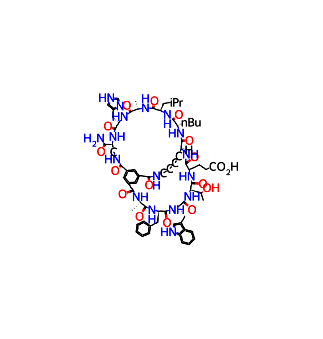 CCCC[C@@H]1NC(=O)[C@@H]2CCCCNC(=O)c3cc(cc(c3)C(=O)N[C@@H](C)C(=O)N[C@H](Cc3ccccc3)C(=O)N[C@@H](Cc3c[nH]c4ccccc34)C(=O)N[C@H](C(C)O)C(=O)NC(CCC(=O)O)C(=O)N2)C(=O)NC[C@@H](C(N)=O)NC(=O)[C@H](Cc2c[nH]cn2)NC(=O)[C@H](C)NC(=O)[C@@H](CC(C)C)NC1=O